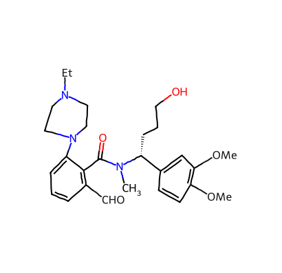 CCN1CCN(c2cccc(C=O)c2C(=O)N(C)[C@H](CCCO)c2ccc(OC)c(OC)c2)CC1